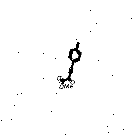 COC(=O)C(=O)C#Cc1ccc(C)cc1